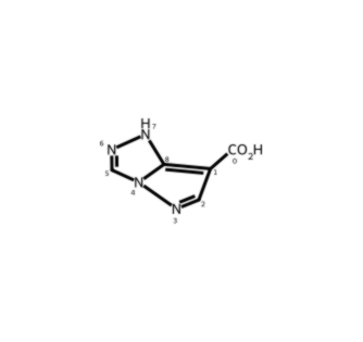 O=C(O)c1cnn2cn[nH]c12